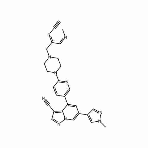 C#C/N=C(\C=N/C)CN1CCN(c2ccc(-c3cc(-c4cnn(C)c4)cn4ncc(C#N)c34)cn2)CC1